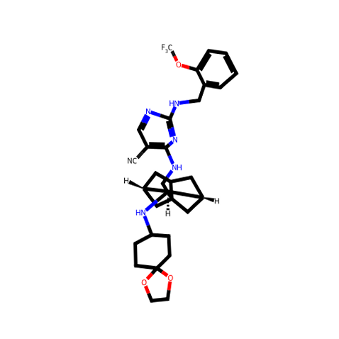 N#Cc1cnc(NCc2ccccc2OC(F)(F)F)nc1NCC12C[C@H]3CC1C[C@@H](C2)[C@@H]3NC1CCC2(CC1)OCCO2